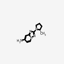 C[C@H]1CCCN1c1nc2cc(N)ccn2n1